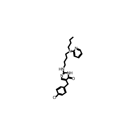 CCCCN(CCCCNc1ncc(Cc2ccc(Cl)cc2)c(=O)[nH]1)c1ccccn1